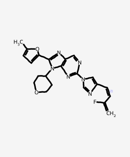 C=C(F)/C=C\c1cn(-c2ncc3nc(-c4ccc(C)o4)n(C4CCOCC4)c3n2)cn1